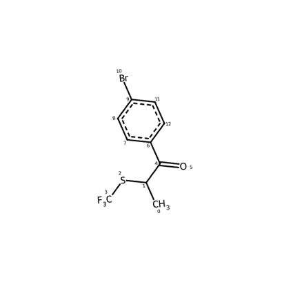 CC(SC(F)(F)F)C(=O)c1ccc(Br)cc1